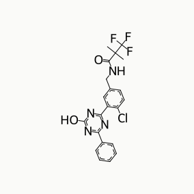 CC(C)(C(=O)NCc1ccc(Cl)c(-c2nc(O)nc(-c3ccccc3)n2)c1)C(F)(F)F